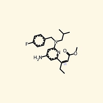 CC/C(=C/C(=O)OC)c1cc(N)cc(N(Cc2ccc(F)cc2)CC(C)C)n1